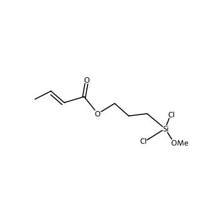 CC=CC(=O)OCCC[Si](Cl)(Cl)OC